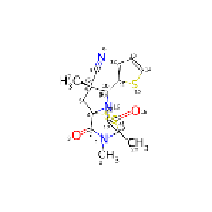 CN1C(=O)C23C[C@](C)(C#N)[C@H](c4cccs4)N2C(=O)C1(C)SS3